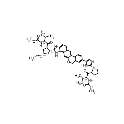 CCO[C@H]1C[C@@H](c2nc3ccc4cc5c(cc4c3[nH]2)OCc2cc(-c3cnc([C@@H]4CCCC4C(=O)[C@@H](NC(=O)OC)C(C)C)[nH]3)ccc2-5)N(C(=O)[C@@H](NC(=O)OC)C(C)C)C1